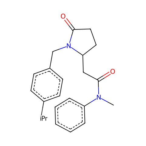 CC(C)c1ccc(CN2C(=O)CCC2CC(=O)N(C)c2ccccc2)cc1